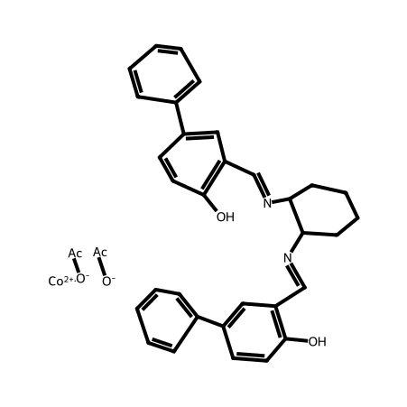 CC(=O)[O-].CC(=O)[O-].Oc1ccc(-c2ccccc2)cc1C=NC1CCCCC1N=Cc1cc(-c2ccccc2)ccc1O.[Co+2]